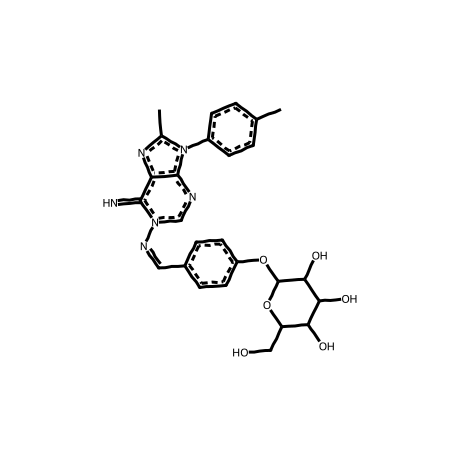 Cc1ccc(-n2c(C)nc3c(=N)n(/N=C\c4ccc(OC5OC(CO)C(O)C(O)C5O)cc4)cnc32)cc1